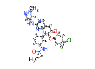 C=CC(=O)Nc1cccc(-n2c(=O)c(Oc3ccc(F)c(Cl)c3)cc3cnc(Nc4cnn(C)c4)nc32)c1